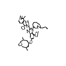 C=CCN1CCCC[C@@H](n2c(NC(=O)c3ccnc(C)c3)nc3cc(OC4CC(C)COCC(C)C4)cc(Cl)c32)C1